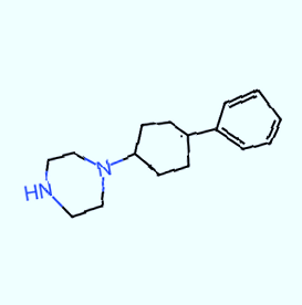 c1ccc([C]2CCC(N3CCNCC3)CC2)cc1